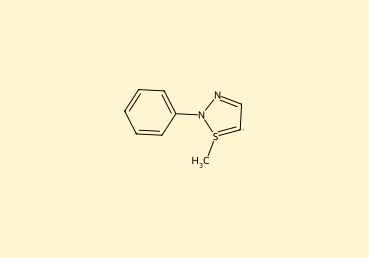 CS1=[C]C=NN1c1ccccc1